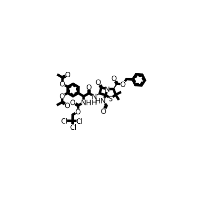 CC(=O)Oc1ccc(C(NC(=O)OCC(Cl)(Cl)Cl)C(=O)N[C@@H]2C(=O)N3[C@@H](C(=O)OCc4ccccc4)C(C)(C)SC23NC=O)cc1OC(C)=O